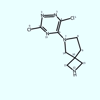 Clc1nnc(Cl)c(N2CCC3(CNC3)C2)n1